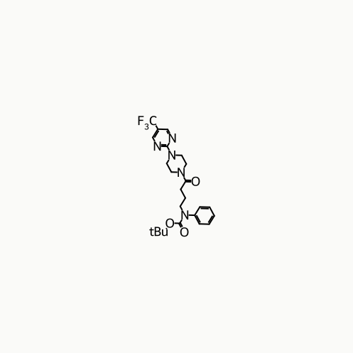 CC(C)(C)OC(=O)N(CCCC(=O)N1CCN(c2ncc(C(F)(F)F)cn2)CC1)c1ccccc1